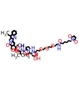 CCc1c2c(nc3ccccc13)-c1cc3c(c(=O)n1C2)COC(=O)[C@@]3(CC)OC(=O)[C@@H](NC(=O)[C@@H]1CCCN1C(=O)[C@H](CC(=O)O)NC(=O)CCOCCOCCOCCNC(=O)CCCCCN1C(=O)C=CC1=O)C(C)C